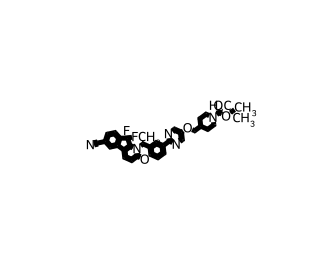 C[C@H](c1cccc(-c2ncc(OCC3CCN(C(=O)OC(C)(C)C)CC3)cn2)c1)n1c2c(ccc1=O)-c1cc(C#N)ccc1C2(F)F